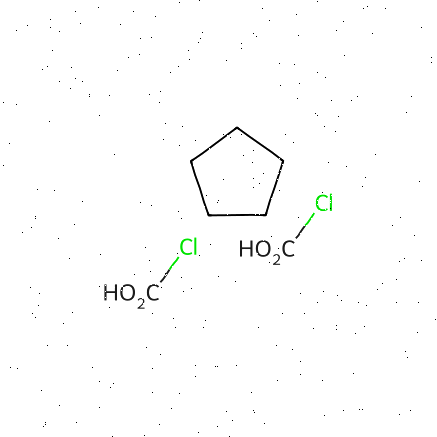 C1CCCC1.O=C(O)Cl.O=C(O)Cl